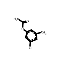 Cc1cc(Cl)cc(OC(N)=O)c1